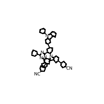 N#Cc1ccc(-c2ccc3c(c2)c2cc(-c4ccc(C#N)cc4)ccc2n3-c2ccc(-c3ccc4c(c3)c3ccccc3n4-c3ccccc3)cc2-c2nc(-c3ccccc3)nc(-c3ccccc3)n2)cc1